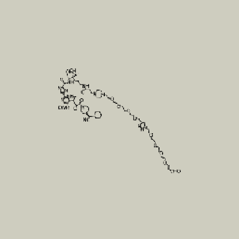 COc1cnc(-n2cnc(C(=O)N[C@H](CO)C3(CCCNC(=O)CCN4CCN(CCOCCOCCOCCOCc5cn(CCOCCOCCOCCOCCC=O)nn5)CC4)CC3C)n2)c2[nH]cc(C(=O)C(=O)N3CCC(=C(C#N)c4ccccc4)CC3)c12